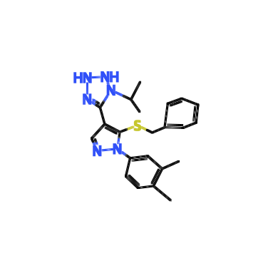 Cc1ccc(-n2ncc(C3=NNNN3C(C)C)c2SCc2ccccc2)cc1C